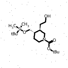 CC(C)(C)OC(=O)N1CC[C@H](CO[Si](C)(C)C(C)(C)C)[C@@H](CCO)C1